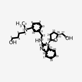 CN(CCCCO)c1cccc(CNc2nc3ccccc3n2[C@H]2CC[C@@H](CO)O2)c1